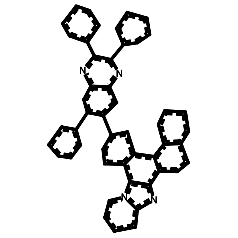 c1ccc(-c2cc3nc(-c4ccccc4)c(-c4ccccc4)nc3cc2-c2ccc3c(c2)c2c4ccccc4ccc2c2nc4ccccn4c32)cc1